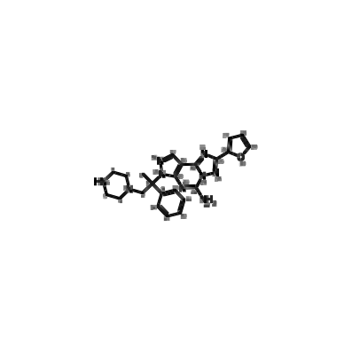 CC(CN1CCNCC1)(c1ccccc1)n1ncc2c1nc(N)n1nc(-c3ccco3)nc21